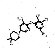 CCC1(C)CCN(c2cnc(Sc3cc(N)nc(Cl)c3Cl)c(N)n2)CC1